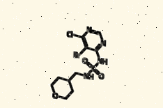 O=S(=O)(NCC1CCOCC1)Nc1ncnc(Cl)c1Br